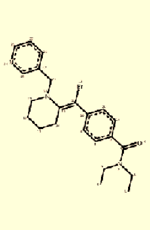 CCN(CC)C(=O)c1ccc(/C(Br)=C2\CCCCN2Cc2cccnc2)cc1